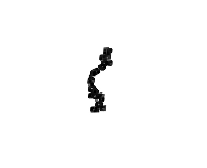 CC1(C)[C@H](Oc2ccc(C#N)c(Cl)c2)C(C)(C)[C@H]1N1Cc2cc(N3CCC(CN4CCN(c5ccc6c(c5)CN(C5CCC(=O)NC5=O)C6=O)CC4)CC3)ccc2C1=O